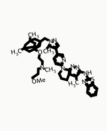 COCCCN(C)CCOC12CC3(C)CC(C)(CC(Cn4ncc(-c5ccc(N6CCCc7c6nnc(Nc6nc8ccccc8s6)c7C)nc5)c4C)(C3)C1)C2